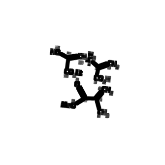 C=C(C)C(=O)O.C=C(C)C(=O)OC.C=C(O)C(=O)OCC